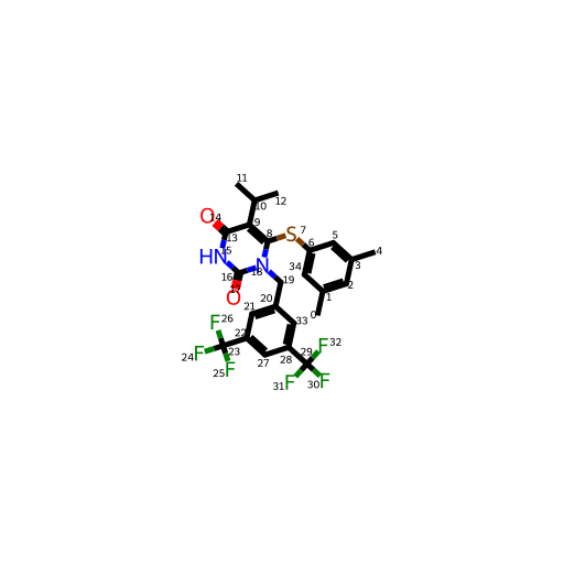 Cc1cc(C)cc(Sc2c(C(C)C)c(=O)[nH]c(=O)n2Cc2cc(C(F)(F)F)cc(C(F)(F)F)c2)c1